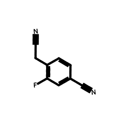 N#CCc1ccc(C#N)cc1F